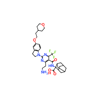 NCCc1nc(N2CCc3cc(OCCC4CCOCC4)ccc32)nc(C(F)(F)F)c1C(=O)NC1(C(=O)O)C2CC3CC(C2)CC1C3